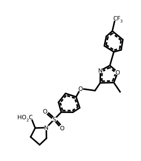 Cc1oc(-c2ccc(C(F)(F)F)cc2)nc1COc1ccc(S(=O)(=O)N2CCCC2C(=O)O)cc1